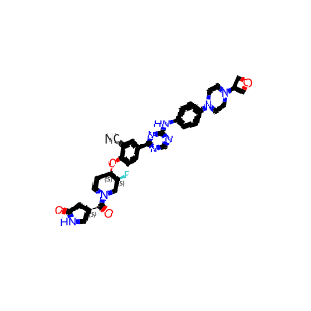 N#Cc1cc(-c2ncnc(Nc3ccc(N4CCN(C5COC5)CC4)cc3)n2)ccc1O[C@H]1CCN(C(=O)[C@@H]2CNC(=O)C2)C[C@@H]1F